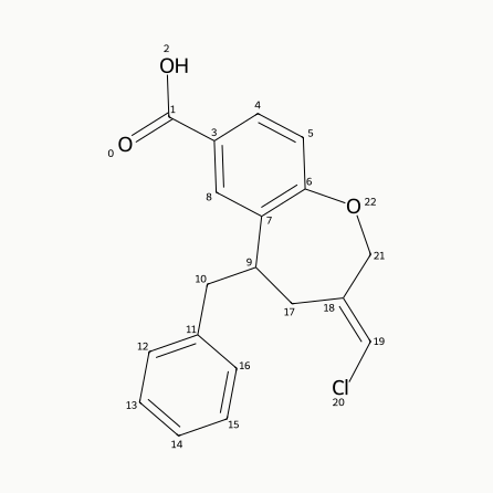 O=C(O)c1ccc2c(c1)C(Cc1ccccc1)CC(=CCl)CO2